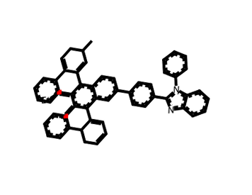 C/C=c1/c(C2=CC=CCC2c2ccccc2)c2cc(-c3ccc(-c4nc5ccccc5n4-c4ccccc4)cc3)ccc2c(C2=CC(C)CC=C2c2ccccc2)/c1=C/CC